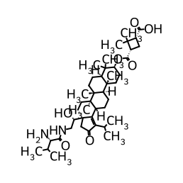 CC(C)C1=C2[C@H]3CC[C@@H]4[C@@]5(C)CC[C@H](OC(=O)[C@H]6C[C@@H](C(=O)O)C6(C)C)C(C)(C)[C@@H]5CC[C@@]4(C)[C@]3(C)CC[C@@]2([C@@H](O)CNC(=O)[C@@H](N)C(C)C)CC1=O